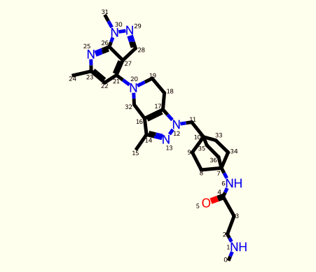 CNCCC(=O)NC12CCC(Cn3nc(C)c4c3CCN(c3cc(C)nc5c3cnn5C)C4)(CC1)CC2